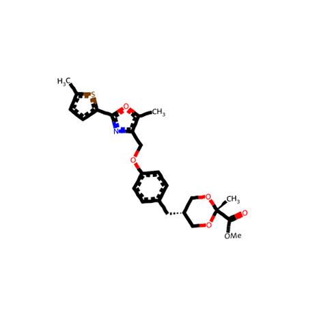 COC(=O)[C@]1(C)OC[C@H](Cc2ccc(OCc3nc(-c4ccc(C)s4)oc3C)cc2)CO1